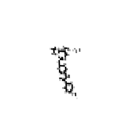 O=C(O)Cc1cnc(Cc2ccc(NC(=O)c3ccc(C(F)(F)F)cc3)cc2)n2ccnc12